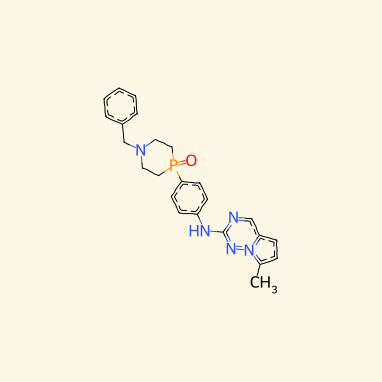 Cc1ccc2cnc(Nc3ccc(P4(=O)CCN(Cc5ccccc5)CC4)cc3)nn12